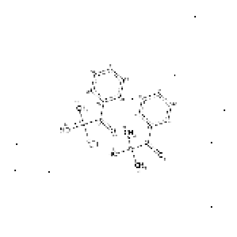 CC(C)(O)C(=O)c1ccccc1.CC(C)(O)C(=O)c1ccccc1